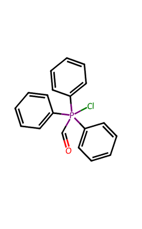 O=CP(Cl)(c1ccccc1)(c1ccccc1)c1ccccc1